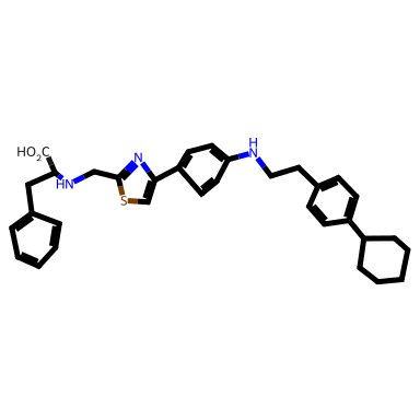 O=C(O)C(Cc1ccccc1)NCc1nc(-c2ccc(NCCc3ccc(C4CCCCC4)cc3)cc2)cs1